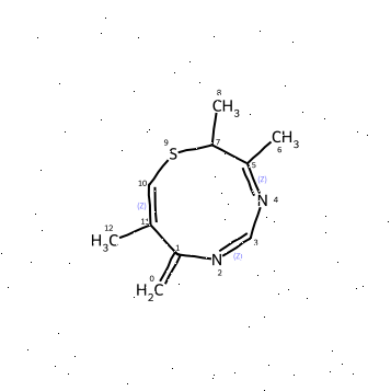 C=C1/N=C\N=C(\C)C(C)S/C=C\1C